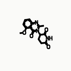 COc1cccc2nc(C)n(C3CCC(=O)NC3=O)c(=O)c12